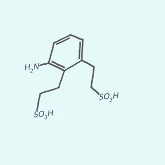 Nc1cccc(CCS(=O)(=O)O)c1CCS(=O)(=O)O